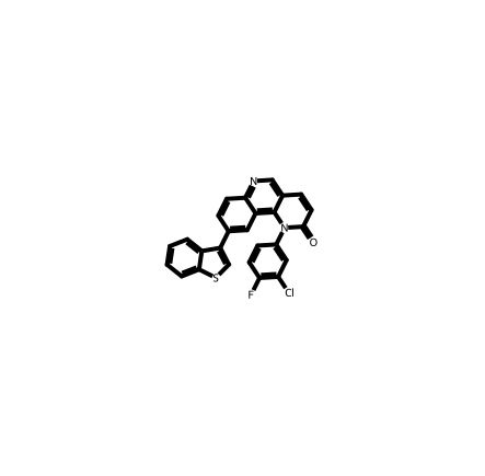 O=c1ccc2cnc3ccc(-c4csc5ccccc45)cc3c2n1-c1ccc(F)c(Cl)c1